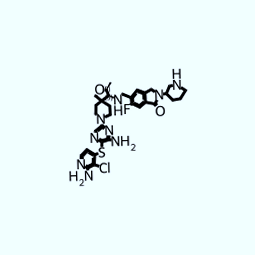 C[C@@H]1OCC2(CCN(c3cnc(Sc4ccnc(N)c4Cl)c(N)n3)CC2)[C@@H]1NCc1cc2c(cc1F)C(=O)N(C1CCCNC1)C2